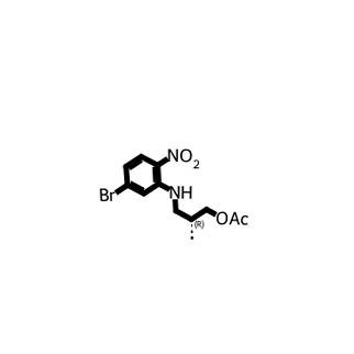 CC(=O)OC[C@H](C)CNc1cc(Br)ccc1[N+](=O)[O-]